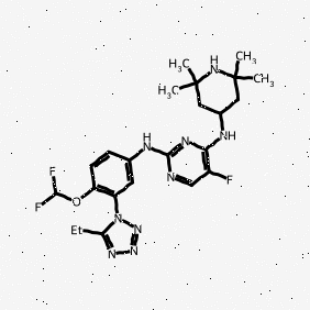 CCc1nnnn1-c1cc(Nc2ncc(F)c(NC3CC(C)(C)NC(C)(C)C3)n2)ccc1OC(F)F